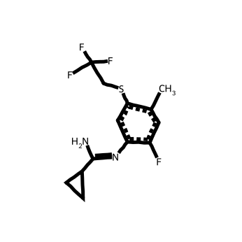 Cc1cc(F)c(/N=C(\N)C2CC2)cc1SCC(F)(F)F